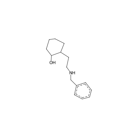 OC1CCCCC1CCNCc1ccccc1